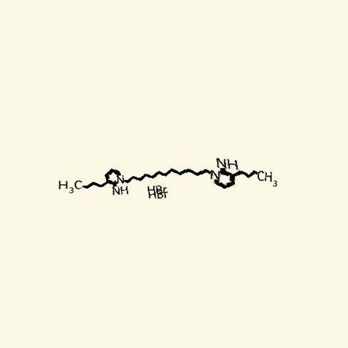 Br.Br.CCCCc1cccn(CCCCCCCCCCCCn2cccc(CCCC)c2=N)c1=N